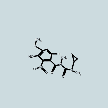 COc1cc(Cl)c(C(=O)N(C)C(=O)N(C)C2CC2)c([N+](=O)[O-])c1O